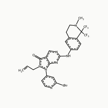 C=CCn1c(=O)c2cnc(Nc3ccc4c(c3)CCN(C)C4(C(F)(F)F)C(F)(F)F)nc2n1-c1ccnc(C(C)(C)C)c1